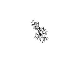 O=CN1CCCC(C2CCCN2c2nc3c(c(Nc4ncc(C5CCCC5)[nH]4)n2)CCC3)C1